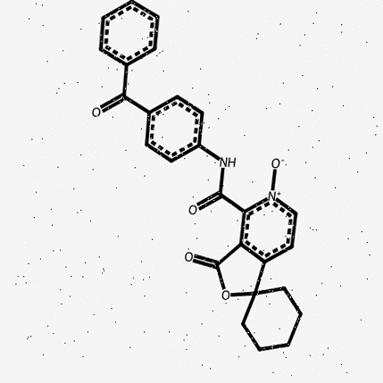 O=C(c1ccccc1)c1ccc(NC(=O)c2c3c(cc[n+]2[O-])C2(CCCCC2)OC3=O)cc1